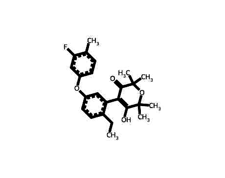 CCc1ccc(Oc2ccc(C)c(F)c2)cc1C1=C(O)C(C)(C)OC(C)(C)C1=O